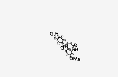 COc1ccc2c(c1)NC(=O)CCN2C(=O)c1ccc([N+](=O)[O-])cc1